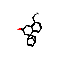 CC(C)Cc1cccc2c1CC(=O)CC21CC2C=CC1C2